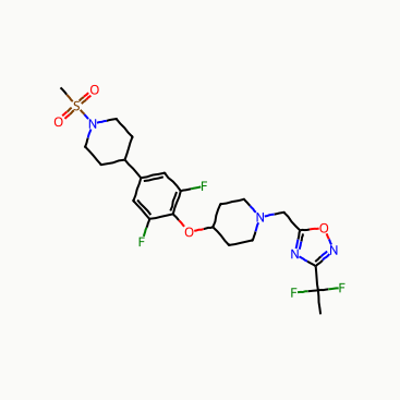 CC(F)(F)c1noc(CN2CCC(Oc3c(F)cc(C4CCN(S(C)(=O)=O)CC4)cc3F)CC2)n1